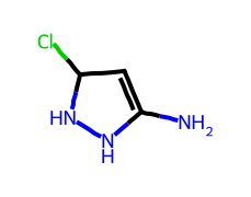 NC1=CC(Cl)NN1